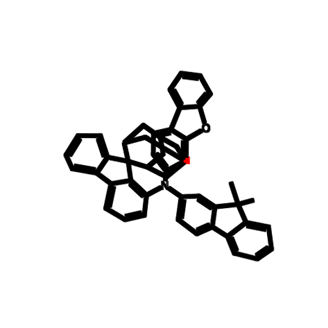 CC1(C)c2ccccc2-c2ccc(N(c3ccc4c(c3)oc3ccccc34)c3cccc4c3C3(c5ccccc5-4)C4CC5CC(C4)CC3C5)cc21